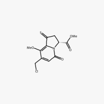 COC(=O)[C@H]1CC(=S)c2c(OC)c(CCl)cc(=O)n21